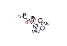 CCN(CC)CCC(=O)NOC(=O)c1n[nH]c(-c2c(OC)cccc2OC)c1-c1ccccc1CC(C)C